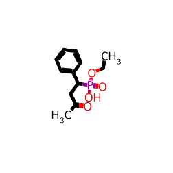 CCOP(=O)(O)C(CC(C)=O)c1ccccc1